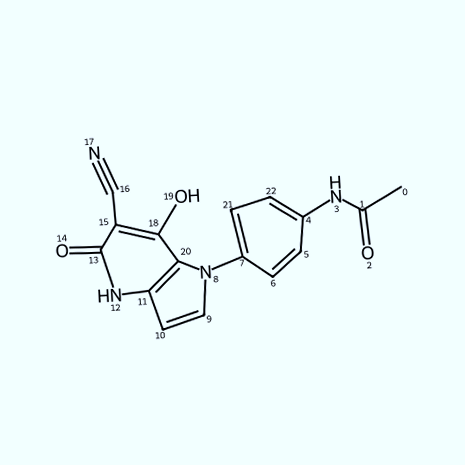 CC(=O)Nc1ccc(-n2ccc3[nH]c(=O)c(C#N)c(O)c32)cc1